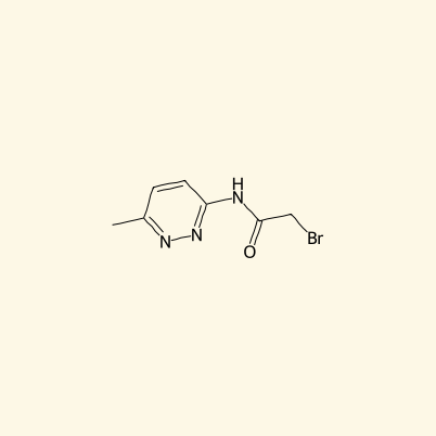 Cc1ccc(NC(=O)CBr)nn1